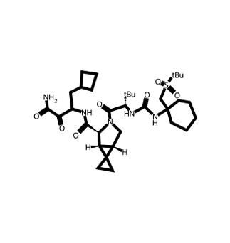 CC(C)(C)[C@H](NC(=O)NC1(CS(=O)(=O)C(C)(C)C)CCCCC1)C(=O)N1C[C@H]2[C@@H]([C@H]1C(=O)NC(CC1CCC1)C(=O)C(N)=O)C21CC1